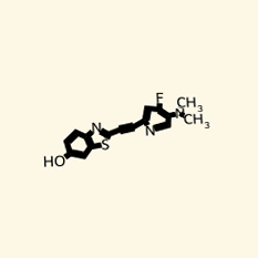 CN(C)c1cnc(C#Cc2nc3ccc(O)cc3s2)cc1F